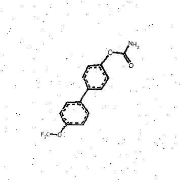 NC(=O)Oc1ccc(-c2ccc(OC(F)(F)F)cc2)cc1